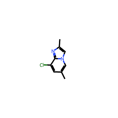 Cc1cc(Cl)c2nc(C)cn2c1